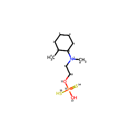 CC1CCCCC1N(C)CCOP(O)(=S)S